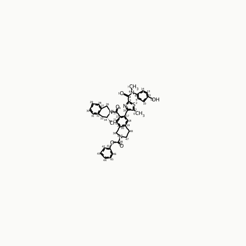 Cc1sc(C(=O)N(C)c2ccc(O)cc2)nc1-c1cc2c(cc1C(=O)N1Cc3ccccc3C[C@H]1C)CN(C(=O)Oc1ccccc1)CC2